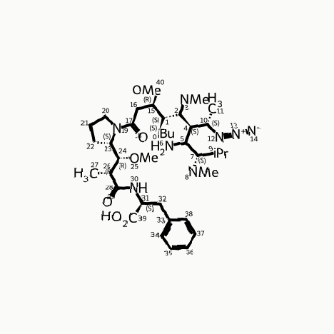 CC[C@H](C)[C@@H](C(NC)[C@H](C(N)[C@@H](NC)C(C)C)[C@H](C)N=[N+]=[N-])[C@@H](CC(=O)N1CCC[C@H]1[C@H](OC)[C@@H](C)C(=O)N[C@@H](Cc1ccccc1)C(=O)O)OC